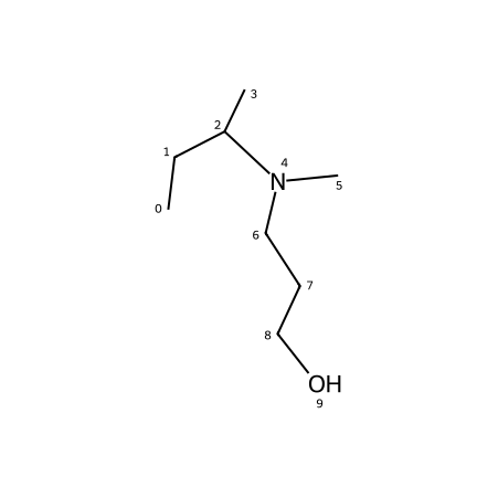 CCC(C)N(C)CCCO